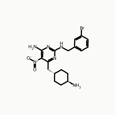 Nc1nc(NCc2cccc(Br)c2)nc(C[C@H]2CC[C@H](N)CC2)c1[N+](=O)[O-]